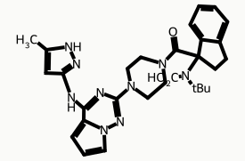 Cc1cc(Nc2nc(N3CCN(C(=O)C4(N(C(=O)O)C(C)(C)C)CCc5ccccc54)CC3)nn3cccc23)n[nH]1